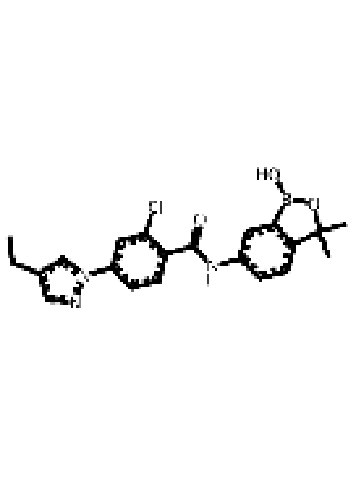 CCc1cnn(-c2ccc(C(=O)Nc3ccc4c(c3)B(O)OC4(C)C)c(Cl)c2)c1